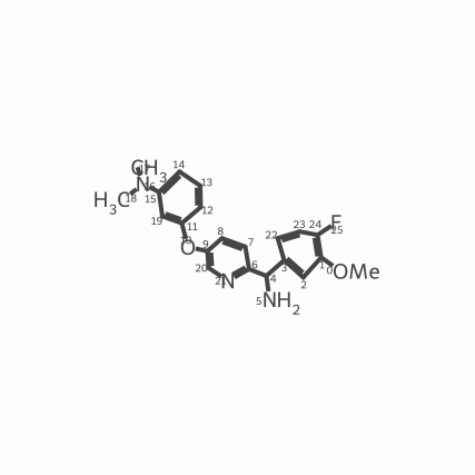 COc1cc(C(N)c2ccc(Oc3cccc(N(C)C)c3)cn2)ccc1F